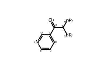 CCCC(CCC)C(=O)c1cccnc1